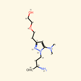 CN(C)c1cc(CCOCCO)nn1CCC(N)C=O